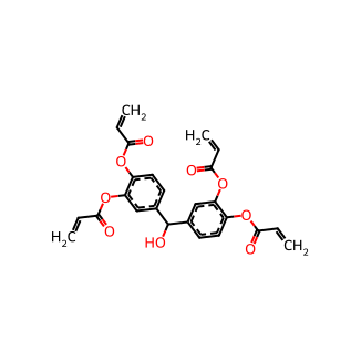 C=CC(=O)Oc1ccc(C(O)c2ccc(OC(=O)C=C)c(OC(=O)C=C)c2)cc1OC(=O)C=C